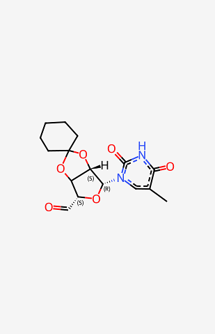 Cc1cn([C@@H]2O[C@H](C=O)C3OC4(CCCCC4)O[C@@H]32)c(=O)[nH]c1=O